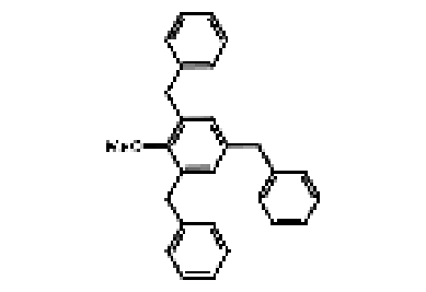 COc1c(Cc2ccccc2)cc(Cc2ccccc2)cc1Cc1ccccc1